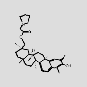 CC1=C(O)C(=O)C=C2C1=CC=C1[C@@]2(C)CC[C@@]2(C)[C@@H]3C[C@](C)(COC(=O)CN4CCCC4)CC[C@@]3(C)CC[C@]12C